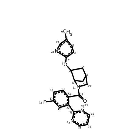 Cc1ccc(OC2CC3CC2N(C(=O)c2ccc(F)cc2-c2ncccn2)C3)nc1